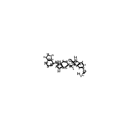 COc1ccc2c(c1)[C@]1(C[C@H]1c1ccc3c(Nc4ncnc5c4CCC5)n[nH]c3c1)C(=O)N2